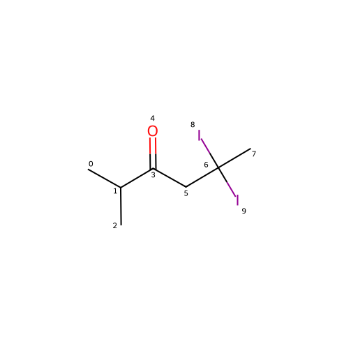 CC(C)C(=O)CC(C)(I)I